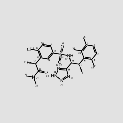 Cc1ccc(F)c([C@@H](C)[C@H](NS(=O)(=O)c2ccc(Cl)c([C@H](F)C(=O)N(C)C)c2)c2nn[nH]n2)c1C